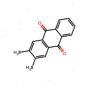 Bc1cc2c(cc1B)C(=O)c1ccccc1C2=O